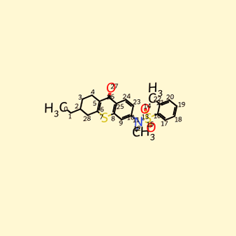 CCC1CCc2c(sc3cc(N(C)S(=O)(=O)c4ccccc4C)ccc3c2=O)C1